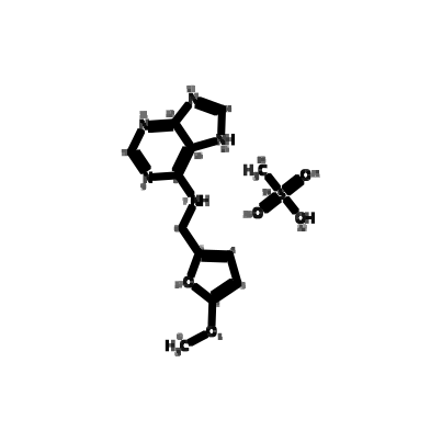 COc1ccc(CNc2ncnc3nc[nH]c23)o1.CS(=O)(=O)O